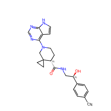 N#Cc1ccc([C@H](O)CNC(=O)[C@H]2CCN(c3ncnc4[nH]ccc34)CC23CC3)cc1